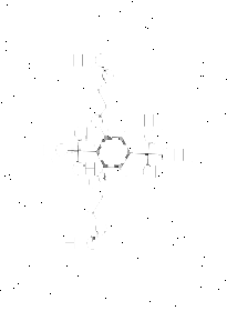 COCCOc1cc(C(C)(C)C)cc(OCCOC)c1C(C)(C)C